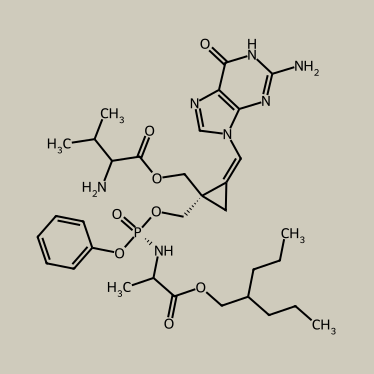 CCCC(CCC)COC(=O)C(C)N[P@](=O)(OC[C@@]1(COC(=O)C(N)C(C)C)C/C1=C/n1cnc2c(=O)[nH]c(N)nc21)Oc1ccccc1